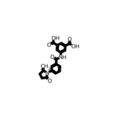 C=C1CCC(=O)N1c1cccc(C(=O)Nc2cc(C(=O)O)cc(C(=O)O)c2)c1